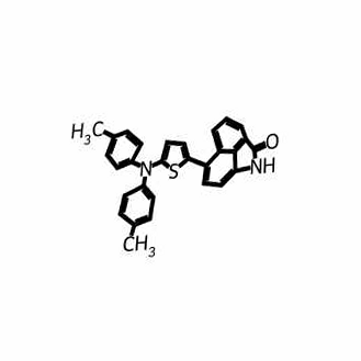 Cc1ccc(N(c2ccc(C)cc2)c2ccc(-c3ccc4c5c(cccc35)C(=O)N4)s2)cc1